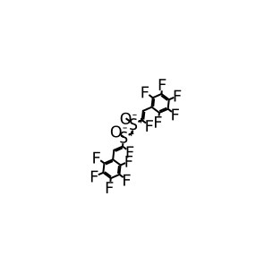 [O-][S+](C[S+]([O-])C(F)=Cc1c(F)c(F)c(F)c(F)c1F)C(F)=Cc1c(F)c(F)c(F)c(F)c1F